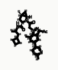 CC(=O)c1nn(CC(=O)N2[C@H](C(=O)NC(C)CC3CCC3)C[C@@]3(C)C[C@@H]23)c2c(C)cc(-c3cnc(C)nc3)cc12